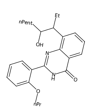 CCCCCC(O)C(CC)c1cccc2c(=O)[nH]c(-c3ccccc3OCCC)nc12